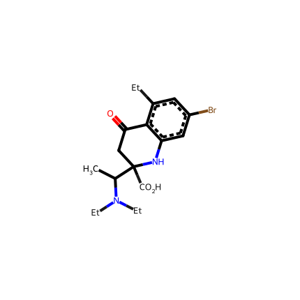 CCc1cc(Br)cc2c1C(=O)CC(C(=O)O)(C(C)N(CC)CC)N2